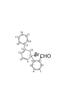 O=Cc1ccccc1C1(Br)C=CC=C(c2ccccc2)C1